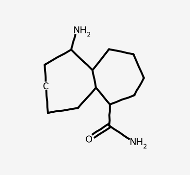 NC(=O)C1CCCCC2C(N)CCCCC12